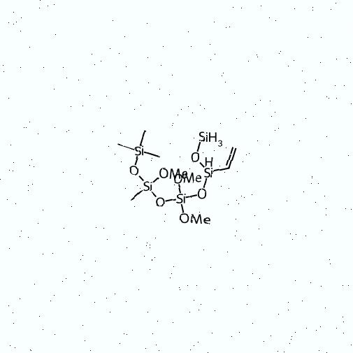 C=C[SiH](O[SiH3])O[Si](OC)(OC)O[Si](C)(OC)O[Si](C)(C)C